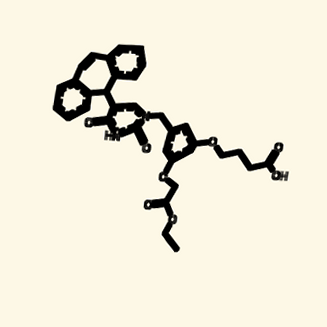 CCOC(=O)COc1cc(Cn2cc(C3c4ccccc4C=Cc4ccccc43)c(=O)[nH]c2=O)cc(OCCCC(=O)O)c1